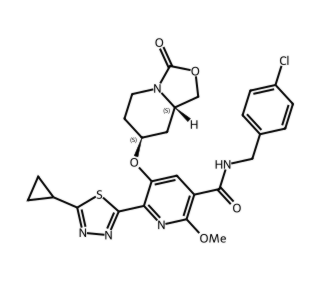 COc1nc(-c2nnc(C3CC3)s2)c(O[C@H]2CCN3C(=O)OC[C@@H]3C2)cc1C(=O)NCc1ccc(Cl)cc1